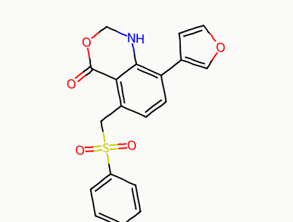 O=C1OCNc2c(-c3ccoc3)ccc(CS(=O)(=O)c3ccccc3)c21